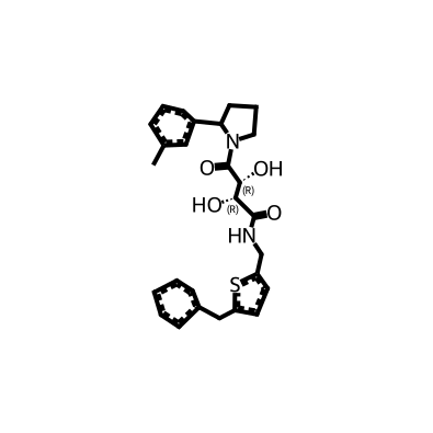 Cc1cccc(C2CCCN2C(=O)[C@H](O)[C@@H](O)C(=O)NCc2ccc(Cc3ccccc3)s2)c1